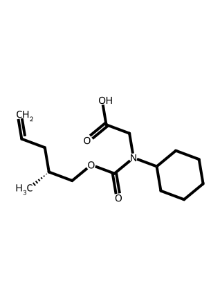 C=CC[C@@H](C)COC(=O)N(CC(=O)O)C1CCCCC1